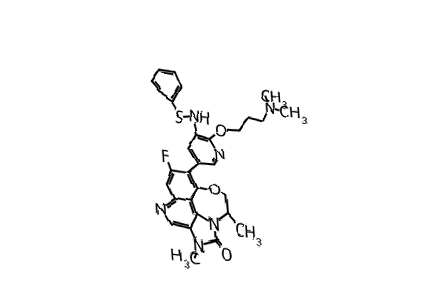 CC1COc2c(-c3cnc(OCCCN(C)C)c(NSc4ccccc4)c3)c(F)cc3ncc4c(c23)n1c(=O)n4C